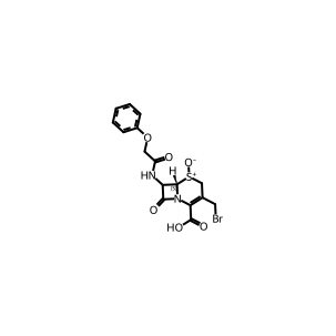 O=C(COc1ccccc1)NC1C(=O)N2C(C(=O)O)=C(CBr)C[S+]([O-])[C@@H]12